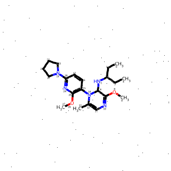 CCC(CC)NC1C(OC)=NC=C(C)N1c1ccc(N2CCCC2)nc1OC